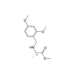 COC(=O)[C@H](C)NCc1ccc(OC)cc1OC